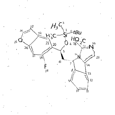 CC(C)(C)[Si](C)(C)O[C@@H](C[C@H]1c2ccccc2-c2cnc(C(=O)O)n21)c1cc2ccoc2cc1F